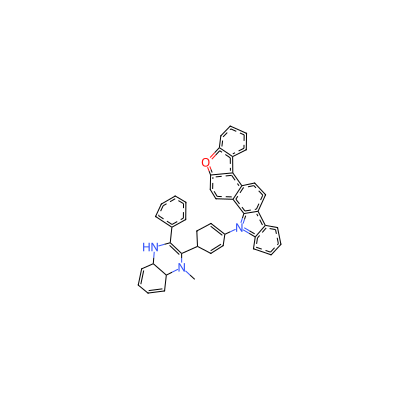 CN1C(C2C=CC(n3c4ccccc4c4ccc5c(ccc6oc7ccccc7c65)c43)=CC2)=C(c2ccccc2)NC2C=CC=CC21